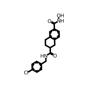 O=C(NO)c1ccc2c(c1)CCC(C(=O)NCc1ccc(Cl)cc1)C2